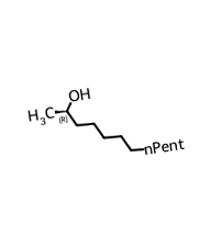 CCCCCCCCCC[C@@H](C)O